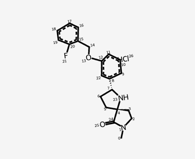 CN1CC[C@]2(CC[C@H](c3cccc(OCc4ccccc4F)c3)N2)C1=O.Cl